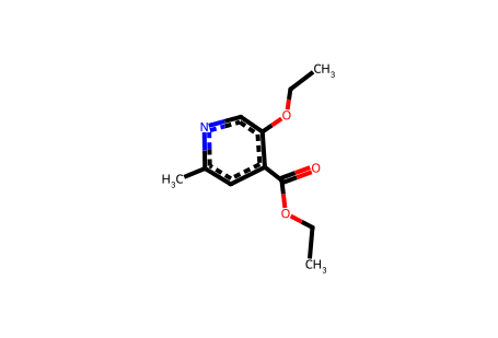 CCOC(=O)c1cc(C)ncc1OCC